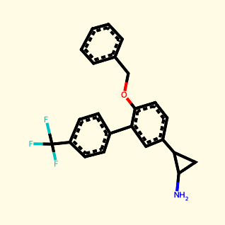 NC1CC1c1ccc(OCc2ccccc2)c(-c2ccc(C(F)(F)F)cc2)c1